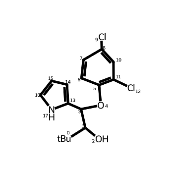 CC(C)(C)C(O)C(Oc1ccc(Cl)cc1Cl)c1ccc[nH]1